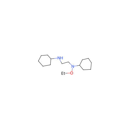 CCON(CCNC1CCCCC1)C1CCCCC1